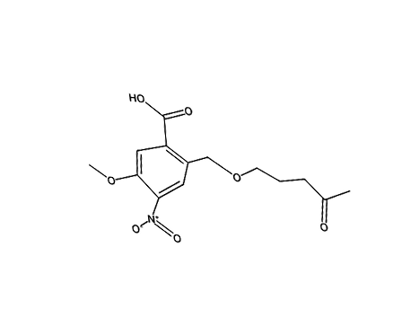 COc1cc(C(=O)O)c(COCCCC(C)=O)cc1[N+](=O)[O-]